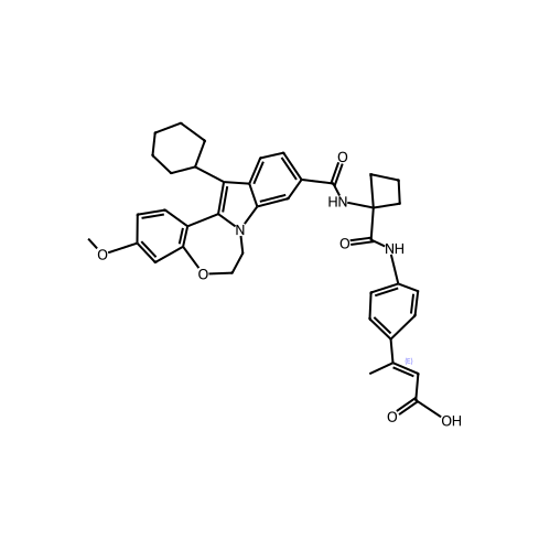 COc1ccc2c(c1)OCCn1c-2c(C2CCCCC2)c2ccc(C(=O)NC3(C(=O)Nc4ccc(/C(C)=C/C(=O)O)cc4)CCC3)cc21